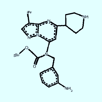 CC(C)c1cnn2c(N(Cc3cccc(N)c3)C(=O)OC(C)(C)C)cc(C3CCNCC3)nc12